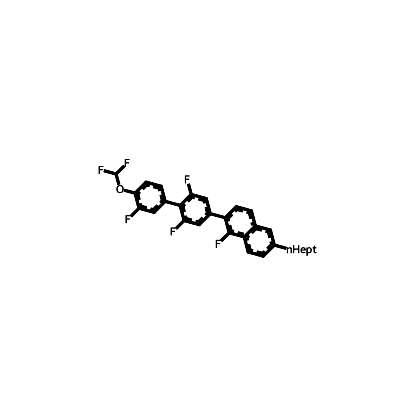 CCCCCCCc1ccc2c(F)c(-c3cc(F)c(-c4ccc(OC(F)F)c(F)c4)c(F)c3)ccc2c1